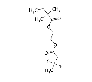 CCC(C)(C)C(=O)OCCOC(=O)CC(C)(F)F